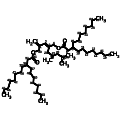 C=C(/C=C(/COC(=O)CC(CCCCCCCC)CCCCCCCC)CC(C)CN(C)C)COC(=O)CC(CCCCCCCC)CCCCCCCC